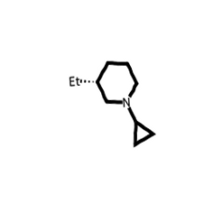 CC[C@@H]1CCCN(C2CC2)C1